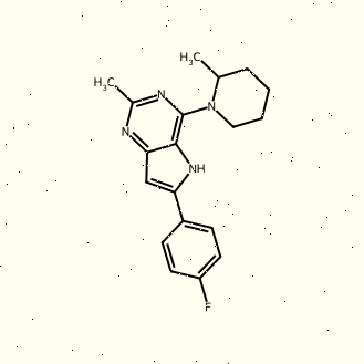 Cc1nc(N2CCCCC2C)c2[nH]c(-c3ccc(F)cc3)cc2n1